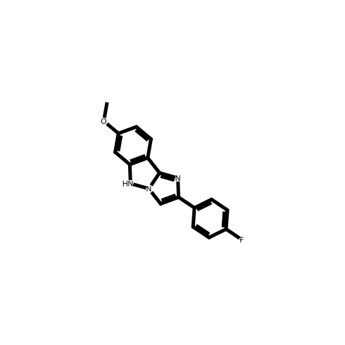 COc1ccc2c(c1)[nH]n1cc(-c3ccc(F)cc3)nc21